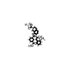 COC(=O)N1CCc2ccc3c(nc([C@@H]4CCC[C@@H](C(=O)O)C4)n3[C@@H](C)Cc3ccccc3C)c2C1